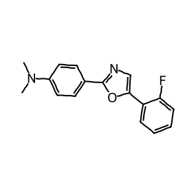 CN(C)c1ccc(-c2ncc(-c3ccccc3F)o2)cc1